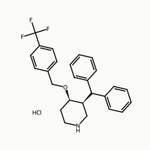 Cl.FC(F)(F)c1ccc(CO[C@@H]2CCNC[C@@H]2C(c2ccccc2)c2ccccc2)cc1